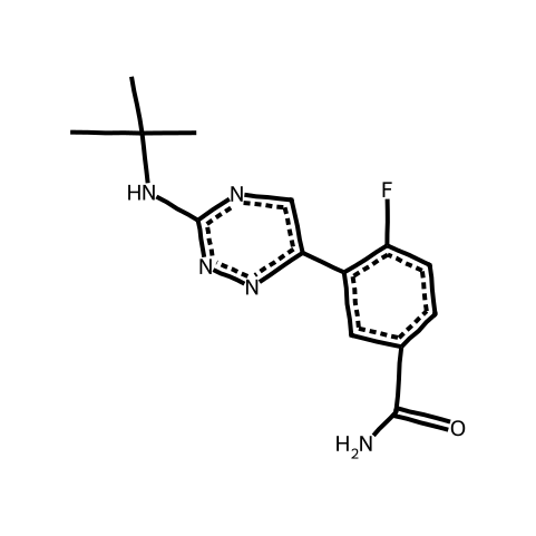 CC(C)(C)Nc1ncc(-c2cc(C(N)=O)ccc2F)nn1